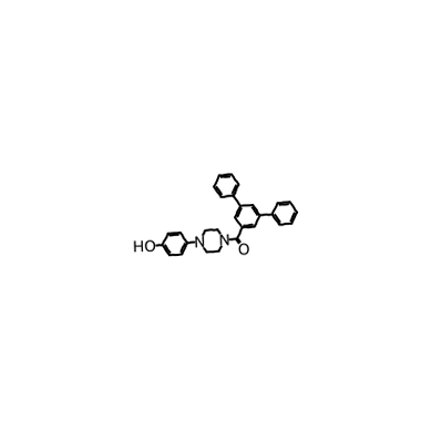 O=C(c1cc(-c2ccccc2)cc(-c2ccccc2)c1)N1CCN(c2ccc(O)cc2)CC1